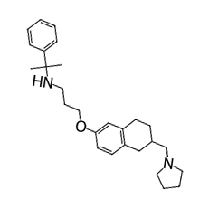 CC(C)(NCCCOc1ccc2c(c1)CCC(CN1CCCC1)C2)c1ccccc1